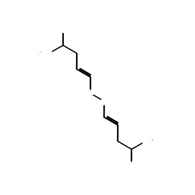 CCC(CC=CSSC=CCC(CC)SC)SC